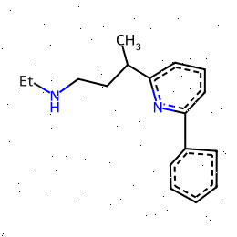 CCNCCC(C)c1cccc(-c2ccccc2)n1